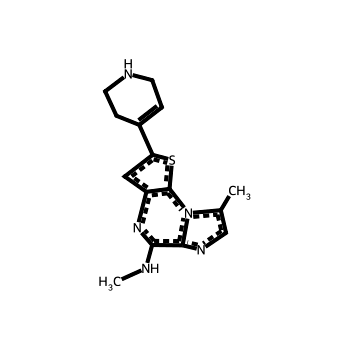 CNc1nc2cc(C3=CCNCC3)sc2n2c(C)cnc12